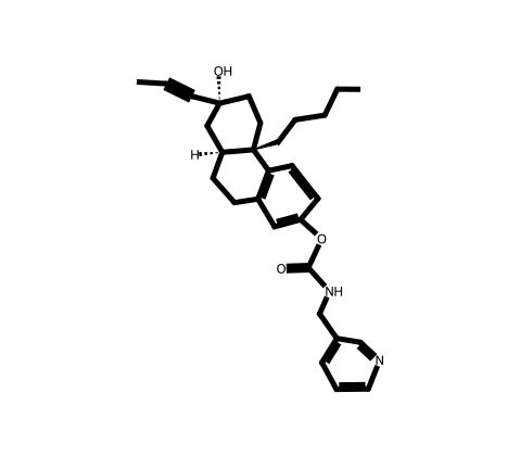 CC#C[C@@]1(O)CC[C@]2(CCCCC)c3ccc(OC(=O)NCc4cccnc4)cc3CC[C@H]2C1